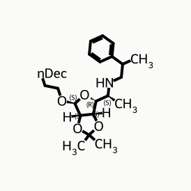 CCCCCCCCCCCCO[C@H]1O[C@H]([C@H](C)NCC(C)c2ccccc2)[C@@H]2OC(C)(C)O[C@H]12